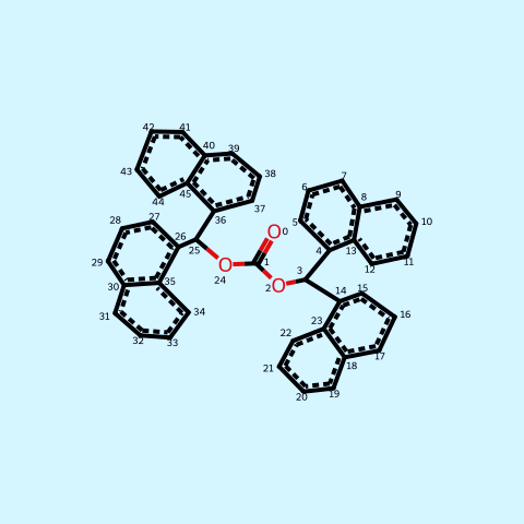 O=C(OC(c1cccc2ccccc12)c1cccc2ccccc12)OC(c1cccc2ccccc12)c1cccc2ccccc12